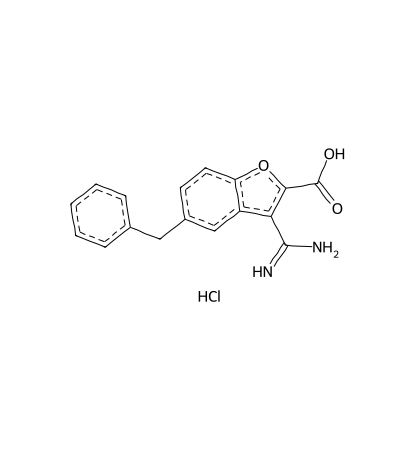 Cl.N=C(N)c1c(C(=O)O)oc2ccc(Cc3ccccc3)cc12